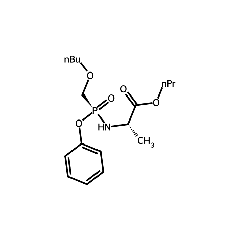 CCCCOC[P@@](=O)(N[C@@H](C)C(=O)OCCC)Oc1ccccc1